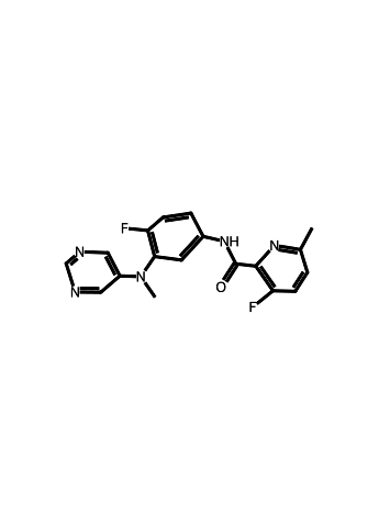 Cc1ccc(F)c(C(=O)Nc2ccc(F)c(N(C)c3cncnc3)c2)n1